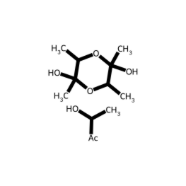 CC(=O)C(C)O.CC1OC(C)(O)C(C)OC1(C)O